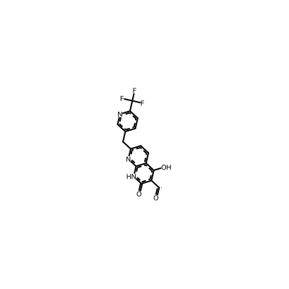 O=[C]c1c(O)c2ccc(Cc3ccc(C(F)(F)F)nc3)nc2[nH]c1=O